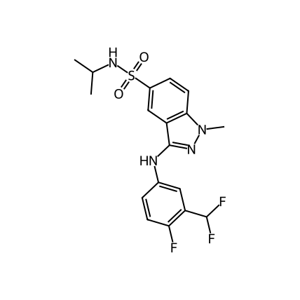 CC(C)NS(=O)(=O)c1ccc2c(c1)c(Nc1ccc(F)c(C(F)F)c1)nn2C